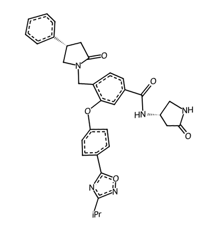 CC(C)c1noc(-c2ccc(Oc3cc(C(=O)N[C@@H]4CNC(=O)C4)ccc3CN3C[C@H](c4ccccc4)CC3=O)cc2)n1